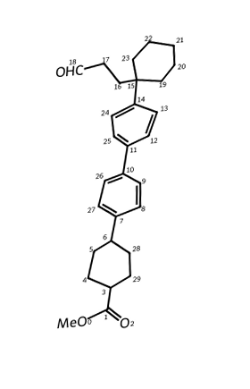 COC(=O)C1CCC(c2ccc(-c3ccc(C4(CCC=O)CCCCC4)cc3)cc2)CC1